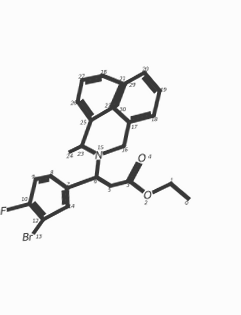 CCOC(=O)CC(c1ccc(F)c(Br)c1)N(Cc1ccccc1)C(C)c1ccccc1